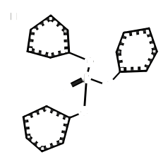 F.O=P(Oc1ccccc1)(Oc1ccccc1)Oc1ccccc1